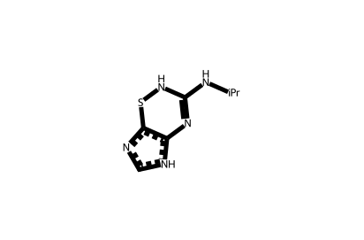 CC(C)NC1=Nc2[nH]cnc2SN1